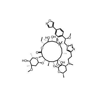 CC[C@H]1OC(=O)[C@H](C)[C@@H](O[C@H]2C[C@@](C)(OC)[C@@H](O)[C@H](C)O2)[C@H](C)[C@@H](O[C@@H]2O[C@H](C)C[C@H](N(C)CCc3cn([C@H](CF)[C@H](OC)c4ccc(-c5cnoc5)cc4)nn3)[C@H]2O)[C@](C)(OC)C[C@@H](C)CN(C)[C@H](C)[C@@H](O)[C@]1(C)O